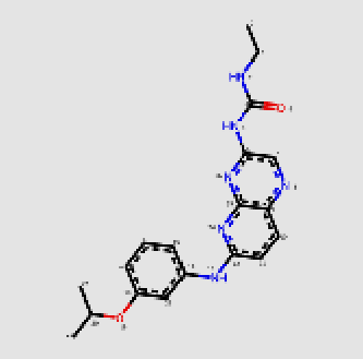 CCNC(=O)Nc1cnc2ccc(Nc3cccc(OC(C)C)c3)nc2n1